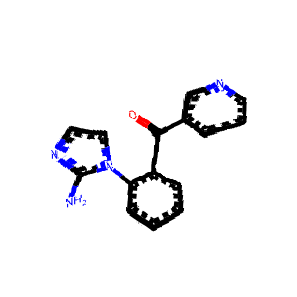 Nc1nccn1-c1ccccc1C(=O)c1cccnc1